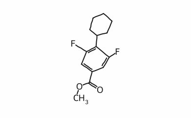 COC(=O)c1cc(F)c(C2CCCCC2)c(F)c1